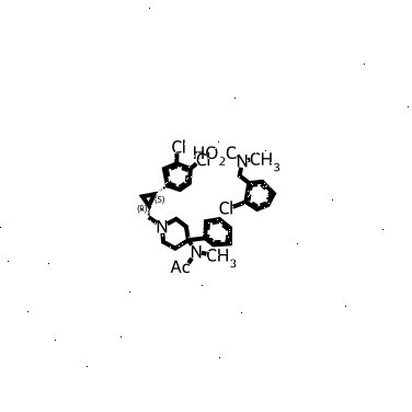 CC(=O)N(C)C1(c2ccccc2)CCN(C[C@@H]2C[C@@H]2c2ccc(Cl)c(Cl)c2)CC1.CN(Cc1ccccc1Cl)C(=O)O